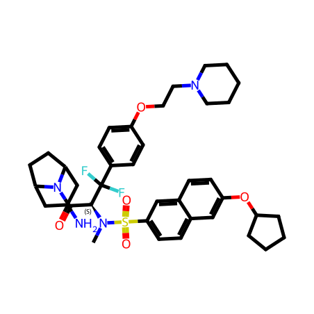 CN([C@@H](C(=O)N1C2CCC1CC(N)C2)C(F)(F)c1ccc(OCCN2CCCCC2)cc1)S(=O)(=O)c1ccc2cc(OC3CCCC3)ccc2c1